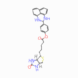 O=C1N[C@@H]2[C@@H](CS[C@@H]2CCCCC(=O)Oc2ccc(C3Nc4cccc5cccc(c45)N3)cc2)N1